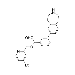 CCc1ccnc(COC(C=O)c2cccc(-c3ccc4c(c3)CCNCC4)c2)c1